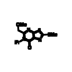 COCc1nc2sc(SC)nc2c(=O)n1C(C)C